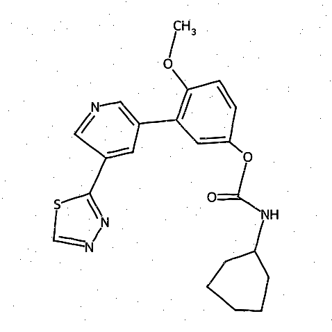 COc1ccc(OC(=O)NC2CCCCC2)cc1-c1cncc(-c2nncs2)c1